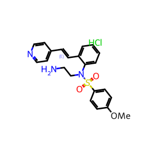 COc1ccc(S(=O)(=O)N(CCN)c2ccccc2/C=C/c2ccncc2)cc1.Cl